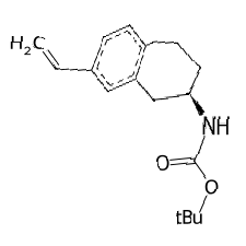 C=Cc1ccc2c(c1)C[C@H](NC(=O)OC(C)(C)C)CC2